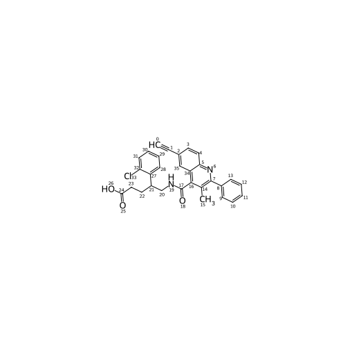 C#Cc1ccc2nc(-c3ccccc3)c(C)c(C(=O)NCC(CCC(=O)O)c3ccccc3Cl)c2c1